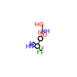 O=S(=O)(NCCO)c1ccc(-c2cc(C(F)(F)F)cc3[nH]ncc23)cc1